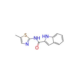 Cc1cnc(NC(=O)c2cc3ccccc3[nH]2)s1